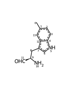 Cc1ccc2[nH]cc(C[C@@H](N)C=O)c2c1